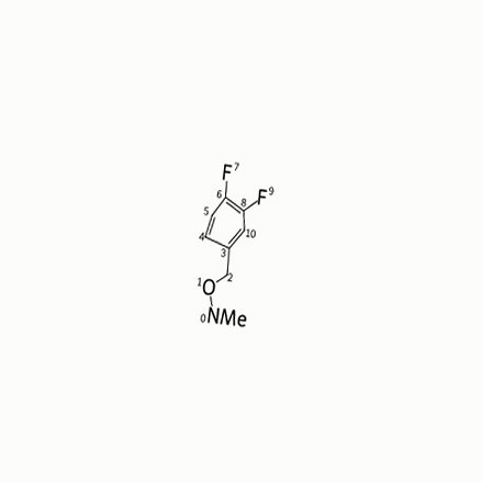 CNOCc1ccc(F)c(F)c1